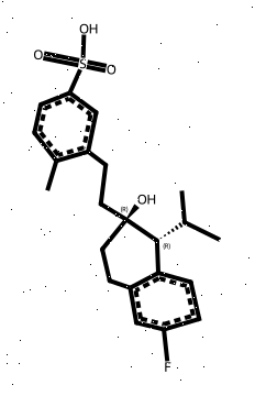 Cc1ccc(S(=O)(=O)O)cc1CC[C@@]1(O)CCc2cc(F)ccc2[C@H]1C(C)C